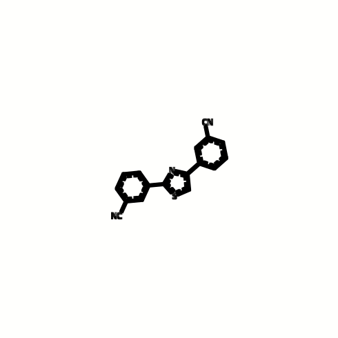 N#Cc1cccc(-c2csc(-c3cccc(C#N)c3)n2)c1